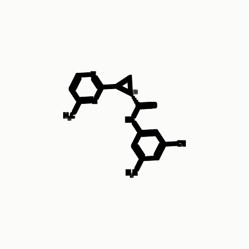 Cc1ccnc(C2C[C@@H]2C(=O)Nc2cc(N)cc(C#N)c2)n1